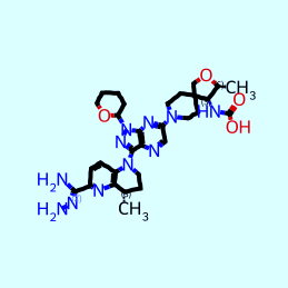 C[C@@H]1OCC2(CCN(c3cnc4c(N5CC[C@H](C)c6nc(/C(N)=N/N)ccc65)nn(C5CCCCO5)c4n3)CC2)[C@@H]1NC(=O)O